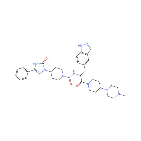 CN1CCN(C2CCN(C(=O)C(Cc3ccc4[nH]ncc4c3)NC(=O)N3CCC(n4nc(-c5ccccc5)[nH]c4=O)CC3)CC2)CC1